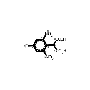 O=C(O)C(C(=O)O)c1c([N+](=O)[O-])cc(F)cc1[N+](=O)[O-]